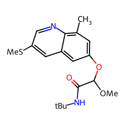 COC(Oc1cc(C)c2ncc(SC)cc2c1)C(=O)NC(C)(C)C